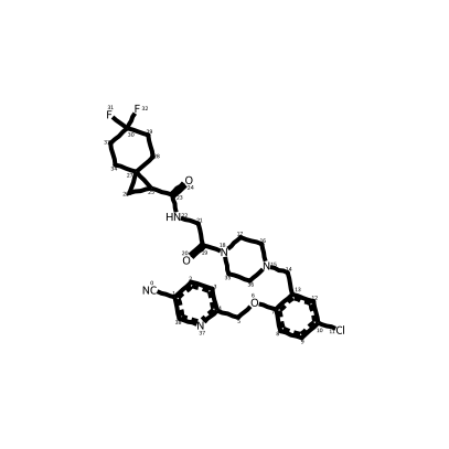 N#Cc1ccc(COc2ccc(Cl)cc2CN2CCN(C(=O)CNC(=O)C3CC34CCC(F)(F)CC4)CC2)nc1